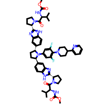 COC(=O)N[C@H](C(=O)N1CCC[C@H]1c1nc2cc([C@H]3CC[C@H](c4ccc5[nH]c([C@@H]6CCCN6C(=O)[C@@H](NC(=O)OC)C(C)C)nc5c4)N3c3cc(F)c(N4CCC(c5ccccn5)CC4)c(F)c3)ccc2[nH]1)C(C)C